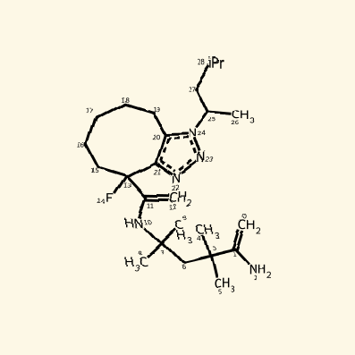 C=C(N)C(C)(C)CC(C)(C)NC(=C)C1(F)CCCCCc2c1nnn2C(C)CC(C)C